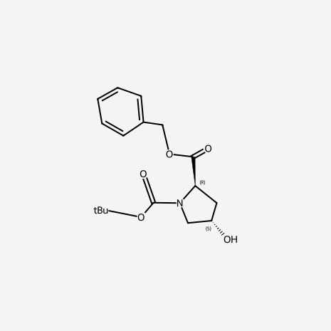 CC(C)(C)OC(=O)N1C[C@@H](O)C[C@@H]1C(=O)OCc1ccccc1